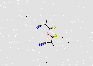 CC(C#N)C(=S)OC(=S)C(C)C#N